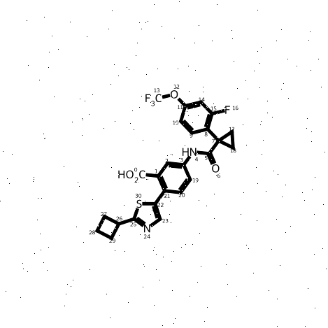 O=C(O)c1cc(NC(=O)C2(c3ccc(OC(F)(F)F)cc3F)CC2)ccc1-c1cnc(C2CCC2)s1